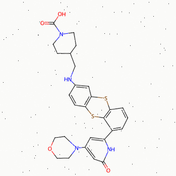 O=C(O)N1CCC(CNc2ccc3c(c2)Sc2cccc(-c4cc(N5CCOCC5)cc(=O)[nH]4)c2S3)CC1